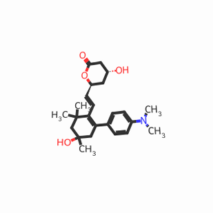 CN(C)c1ccc(C2=C(/C=C/[C@@H]3C[C@@H](O)CC(=O)O3)C(C)(C)CC(C)(O)C2)cc1